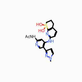 CC(=O)Nc1cc(Nc2ccc3c(n2)S(O)(O)CCC3)c(-c2ccn(C)n2)cn1